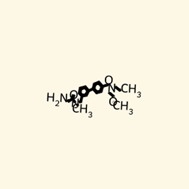 CCCN(CCOC)C(=O)c1ccc(-c2cccc(CN(C)C(=O)CN)c2)cc1